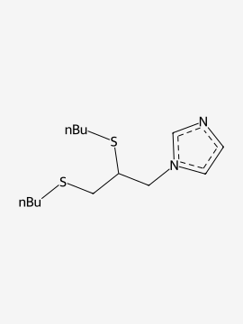 CCCCSCC(Cn1ccnc1)SCCCC